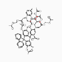 CC(=O)OCOC(=O)CN(CC(=O)OCOC(C)=O)c1ccc(C)cc1OCCOc1cc2c(cc1N(CC(=O)OCOC(C)=O)CC(=O)OCOC(C)=O)C(=O)OC21c2cc(F)c(OC(C)=O)cc2C(c2ccncc2)(c2cccnc2)c2cc(OC(C)=O)c(F)cc21